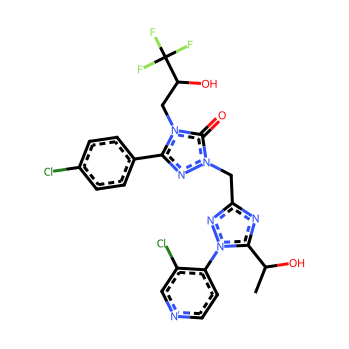 CC(O)c1nc(Cn2nc(-c3ccc(Cl)cc3)n(CC(O)C(F)(F)F)c2=O)nn1-c1ccncc1Cl